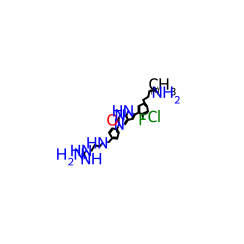 C[C@@H](N)CCCc1cc(Cl)c(F)c(-c2cc3cn(-c4ccc(CNCCCNC(=N)N)cc4)c(=O)nc3[nH]2)c1